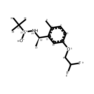 Cc1ccc(OCC(F)F)cc1[C@@H](C)N[S+]([O-])C(C)(C)C